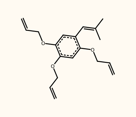 C=CCOc1cc(OCC=C)c(OCC=C)cc1C=C(C)C